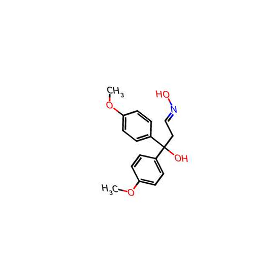 COc1ccc(C(O)(CC=NO)c2ccc(OC)cc2)cc1